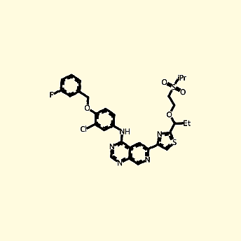 CCC(OCCS(=O)(=O)C(C)C)c1nc(-c2cc3c(Nc4ccc(OCc5cccc(F)c5)c(Cl)c4)ncnc3cn2)cs1